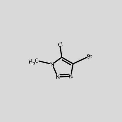 Cn1nnc(Br)c1Cl